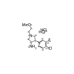 COCCN1CC(N)[C@H](c2ccc(Cl)c(F)c2)C1.Cl.Cl